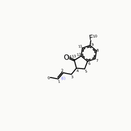 C/C=C/CC1Cc2ccc(F)cc2C1=O